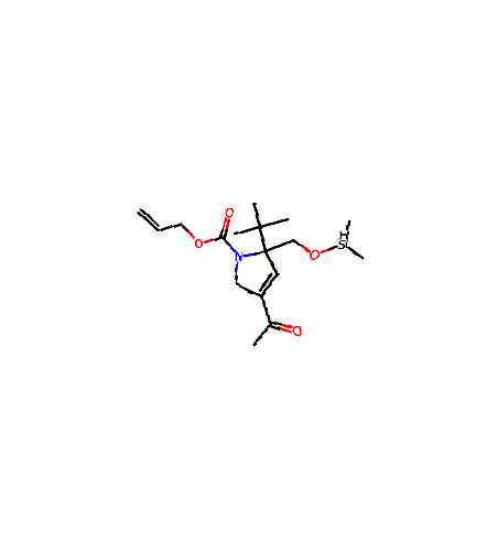 C=CCOC(=O)N1CC(C(C)=O)=CC1(CO[SiH](C)C)C(C)(C)C